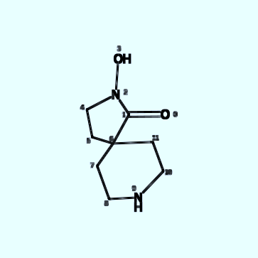 O=C1N(O)CCC12CCNCC2